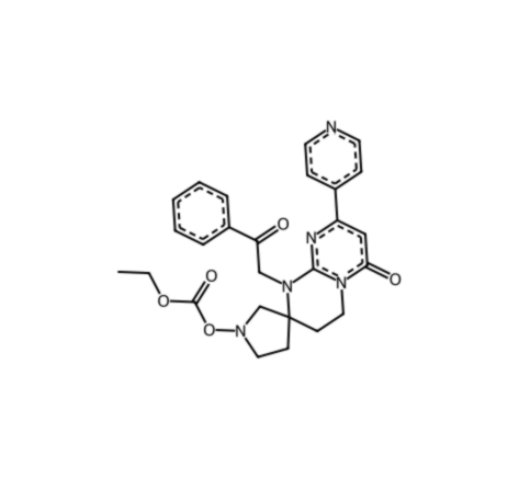 CCOC(=O)ON1CCC2(CCn3c(nc(-c4ccncc4)cc3=O)N2CC(=O)c2ccccc2)C1